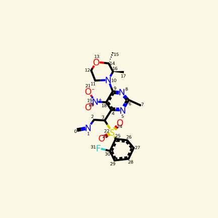 C=NCC(c1nc(C)nc(N2CCO[C@H](C)[C@H]2C)c1[N+](=O)[O-])S(=O)(=O)c1ccccc1F